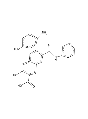 Nc1ccc(N)cc1.O=C(Nc1ccccc1)c1ccc2cc(O)c(C(=O)O)cc2c1